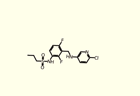 CCCS(=O)(=O)Nc1ccc(F)c(CNc2ccc(Cl)nc2)c1F